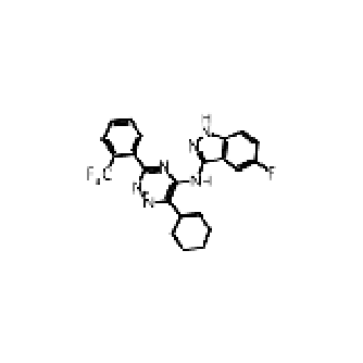 Fc1ccc2[nH]nc(Nc3nc(-c4ccccc4C(F)(F)F)nnc3C3CCCCC3)c2c1